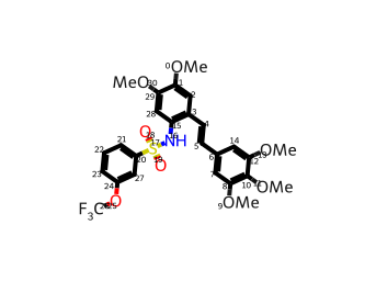 COc1cc(C=Cc2cc(OC)c(OC)c(OC)c2)c(NS(=O)(=O)c2cccc(OC(F)(F)F)c2)cc1OC